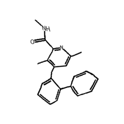 CNC(=O)c1nc(C)cc(-c2ccccc2-c2ccccc2)c1C